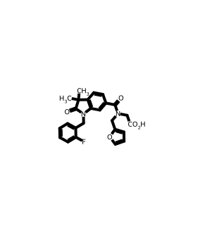 CC1(C)C(=O)N(Cc2ccccc2F)c2cc(C(=O)N(CC(=O)O)Cc3ccco3)ccc21